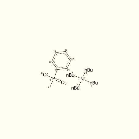 CCCC[N+](CCCC)(CCCC)CCCC.CP(=O)([O-])c1ccccc1